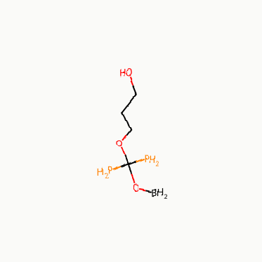 BOC(P)(P)OCCCO